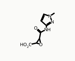 Cn1ccc(NC(=O)C2OC2C(=O)O)n1